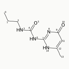 CCCNC(=O)Nc1nc(=O)cc(C)[nH]1